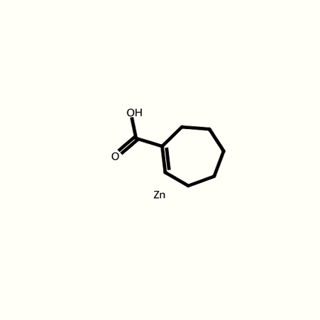 O=C(O)C1=CCCCCC1.[Zn]